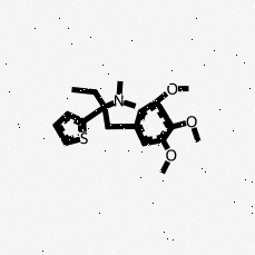 CCC(Cc1cc(OC)c(OC)c(OC)c1)(c1cccs1)N(C)C